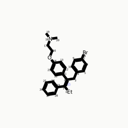 CC/C(=C(\Cc1ccc(Br)cc1)c1ccc(OCCN(C)C)cc1)c1ccccc1